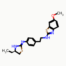 CC[C@@H]1CS/C(=N\c2ccc(CCNc3nc4ccc(OC)cc4s3)cc2)N1